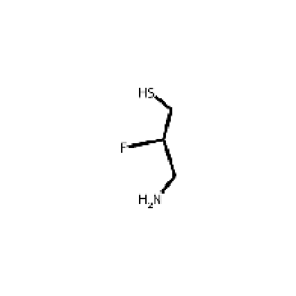 NCC(F)CS